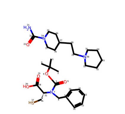 CC(C)(C)OC(=O)N(Cc1ccccc1)[C@H](CS)C(=O)O.NC(=O)N1CCC(CCN2CCCCC2)CC1